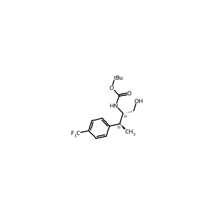 C[C@@H](c1ccc(C(F)(F)F)cc1)[C@@H](CO)NC(=O)OC(C)(C)C